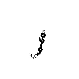 CCCCC1CCC(C#Cc2ccc(-c3ccc(F)cc3)nc2)CC1